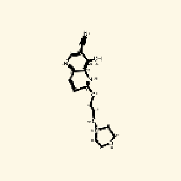 N#Cc1cnc2ccc(OCCCN3CCOCC3)nc2c1O